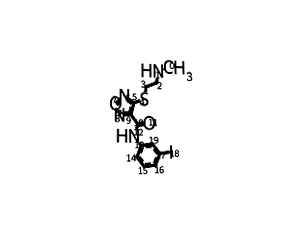 CNCCSc1nonc1C(=O)Nc1cccc(I)c1